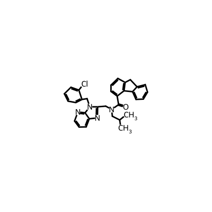 CC(C)CN(Cc1nc2cccnc2n1Cc1ccccc1Cl)C(=O)c1cccc2c1-c1ccccc1C2